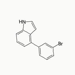 Brc1cccc(-c2cccc3[nH]ccc23)c1